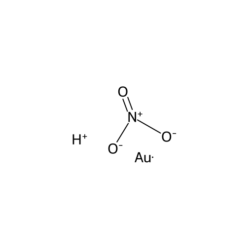 O=[N+]([O-])[O-].[Au].[H+]